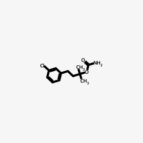 CC(C)(CCc1cccc(Cl)c1)OC(N)=O